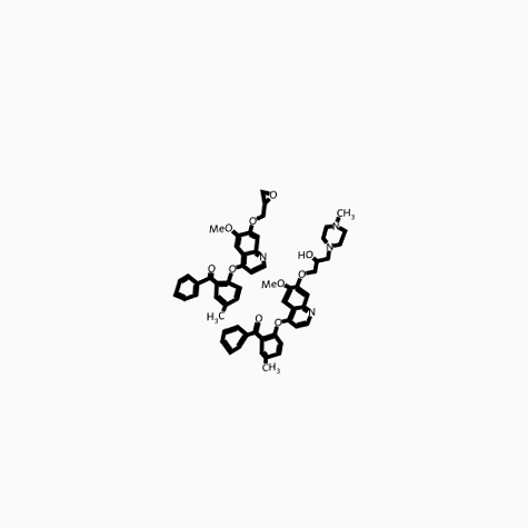 COc1cc2c(Oc3ccc(C)cc3C(=O)c3ccccc3)ccnc2cc1OCC(O)CN1CCN(C)CC1.COc1cc2c(Oc3ccc(C)cc3C(=O)c3ccccc3)ccnc2cc1OCC1CO1